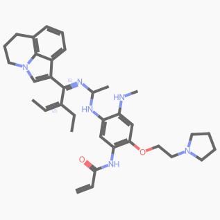 C=CC(=O)Nc1cc(NC(C)/N=C(\C(=C/C)CC)c2cn3c4c(cccc24)CCC3)c(NC)cc1OCCN1CCCC1